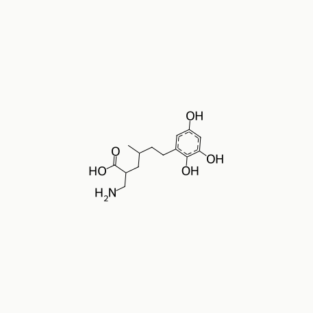 CC(CCc1cc(O)cc(O)c1O)CC(CN)C(=O)O